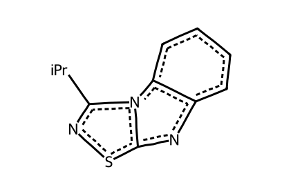 CC(C)c1nsc2nc3ccccc3n12